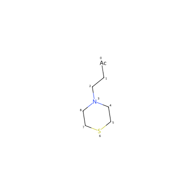 CC(=O)CCN1CCSCC1